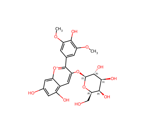 COc1cc(-c2[o+]c3cc(O)cc(O)c3cc2O[C@@H]2O[C@H](CO)[C@H](O)[C@H](O)[C@H]2O)cc(OC)c1O